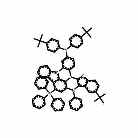 CC(C)(C)c1ccc(N(c2ccc(C(C)(C)C)cc2)c2ccc3c(c2)-n2c4ccccc4c4c([Si](c5ccccc5)(c5ccccc5)c5ccccc5)cc5c(c42)B3c2sc3ccc(C(C)(C)C)cc3c2N5c2ccccc2)cc1